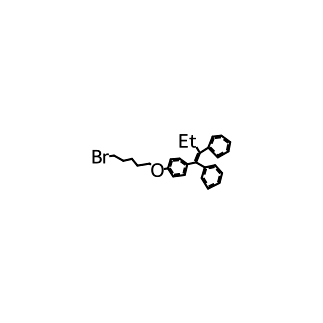 CCC(=C(c1ccccc1)c1ccc(OCCCCCBr)cc1)c1ccccc1